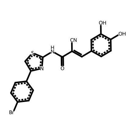 N#C/C(=C\c1ccc(O)c(O)c1)C(=O)Nc1nc(-c2ccc(Br)cc2)cs1